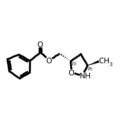 C[C@@H]1C[C@@H](COC(=O)c2ccccc2)ON1